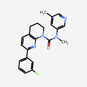 Cc1cncc(N(C)C(=O)N2CCCc3ccc(-c4cccc(F)c4)nc32)c1